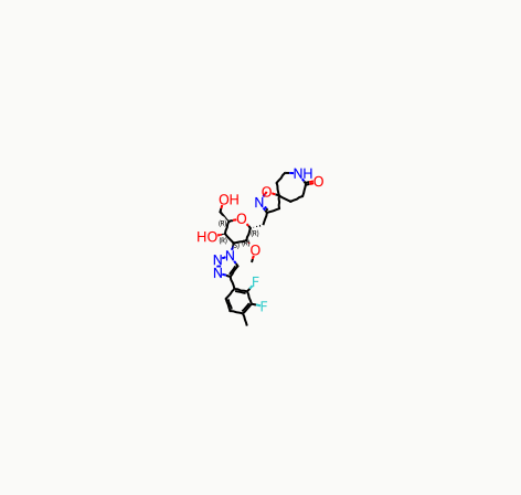 CO[C@@H]1[C@@H](n2cc(-c3ccc(C)c(F)c3F)nn2)[C@@H](O)[C@@H](CO)O[C@@H]1CC1=NOC2(CCNC(=O)CC2)C1